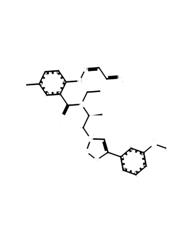 CCN(C(=O)c1cc(C)ccc1N/N=C\C=N)[C@@H](C)CN1C=C(c2cccc(OC)c2)NN1